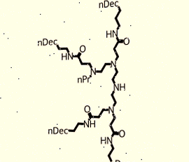 CCCCCCCCCCCCCNC(=O)CCN(CCNCCN(CCC(=O)NCCCCCCCCCCCC)CCC(=O)NCCCCCCCCCCCC)CCN(CCC)CCC(=O)NCCCCCCCCCCCC